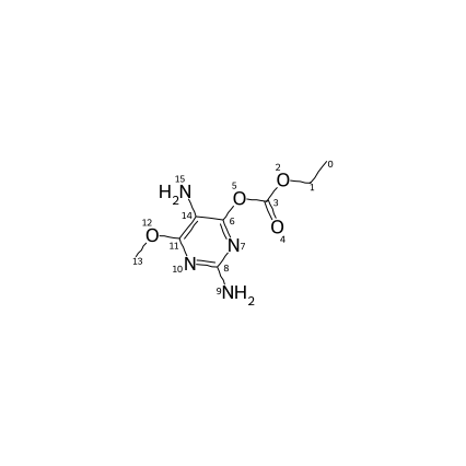 CCOC(=O)Oc1nc(N)nc(OC)c1N